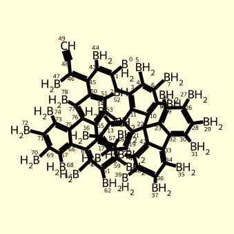 B/C(Cc1c(B)c(B)c(B)c2c1-c1c(B)c(B)c(B)c(B)c1C21c2c(B)c(B)c(B)c(B)c2-c2c(B)c(B)c(B)c(B)c21)=C(B)/C(=C(/B)C#C)c1c(B)c(B)c2c3c(B)c(B)c(B)c(B)c3c3c(B)c(B)c(B)c(B)c3c2c1B